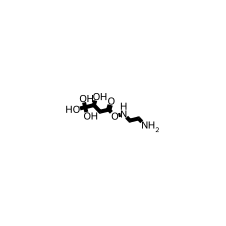 NCCNOC(=O)CC(O)C(O)(O)O